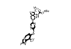 C[C@@H]1OCC2(CCN(c3cnc(Sc4ccn5cc(F)nc5c4Cl)cn3)CC2)[C@@H]1NC(=O)OC(C)(C)C